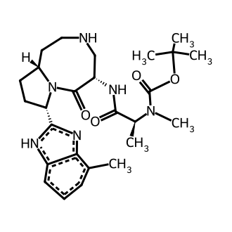 Cc1cccc2[nH]c([C@@H]3CC[C@@H]4CCNC[C@H](NC(=O)[C@H](C)N(C)C(=O)OC(C)(C)C)C(=O)N43)nc12